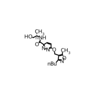 CCCCc1noc(C)c1COc1ccc(C(=O)N[C@@H](C)CO)nn1